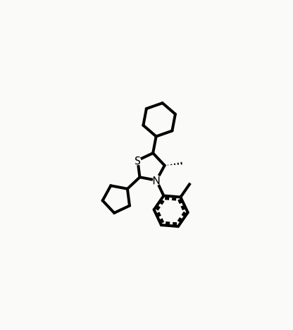 Cc1ccccc1N1C(C2CCCC2)SC(C2CCCCC2)[C@@H]1C